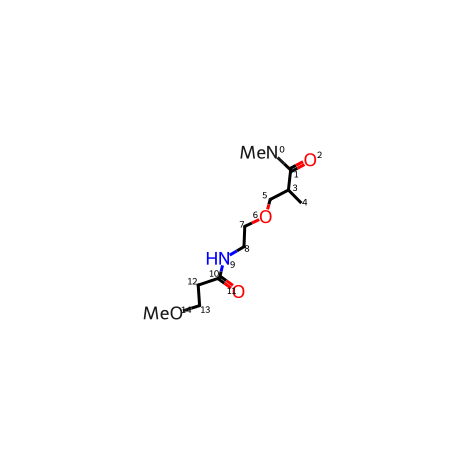 CNC(=O)C(C)COCCNC(=O)CCOC